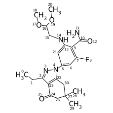 CCc1nn(-c2cc(F)c(C(N)=O)c(NCC(OC)OC)c2)c2c1C(=O)CC(C)(C)C2